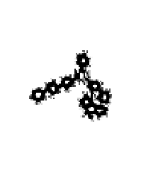 CC1(C)c2ccccc2-c2c(-n3c4ccccc4c4ccc(-c5nc(-c6ccccc6)nc(-c6ccc(-c7ccc(-c8ccccc8)cc7)cc6)n5)cc43)cccc21